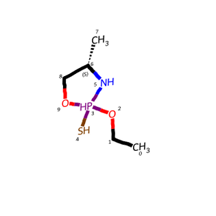 CCO[PH]1(S)N[C@@H](C)CO1